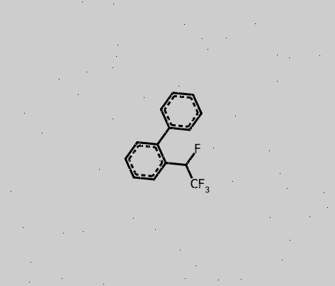 FC(c1ccccc1-c1ccccc1)C(F)(F)F